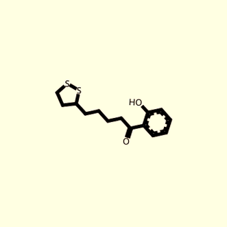 O=C(CCCCC1CCSS1)c1ccccc1O